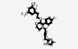 Fc1ccc(C2C(OCCc3cc(C(F)(F)F)cc(C(F)(F)F)c3)OCCN2CC#CCc2ncc[nH]2)cc1